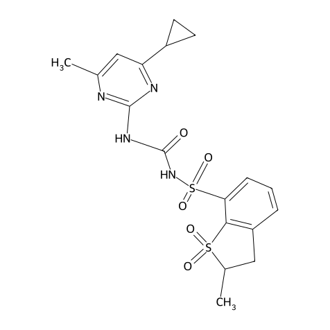 Cc1cc(C2CC2)nc(NC(=O)NS(=O)(=O)c2cccc3c2S(=O)(=O)C(C)C3)n1